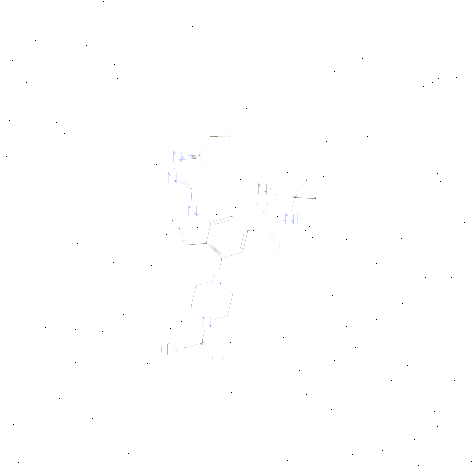 CC(C)(C)C(=O)N1CCN(c2cc(S(=O)(=O)NC3(C#N)CC3)cc3c2cnn3-c2nnc(C(F)F)s2)CC1